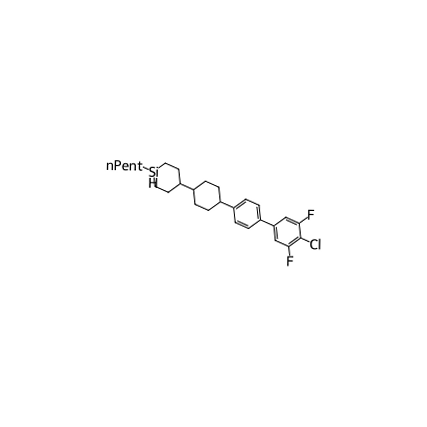 CCCCC[SiH]1CCC(C2CCC(c3ccc(-c4cc(F)c(Cl)c(F)c4)cc3)CC2)CC1